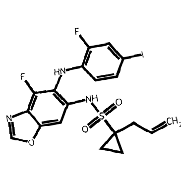 C=CCC1(S(=O)(=O)Nc2cc3ocnc3c(F)c2Nc2ccc(I)cc2F)CC1